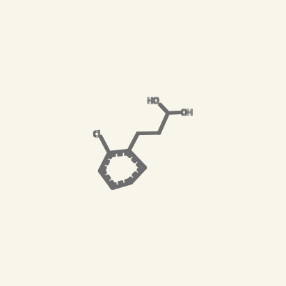 OC(O)CCc1ccccc1Cl